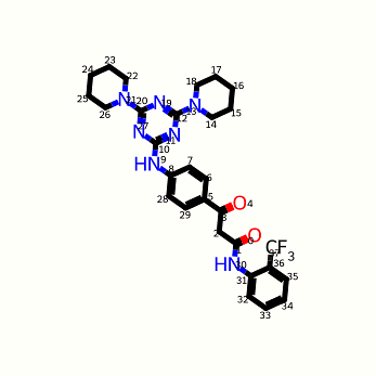 O=C(CC(=O)c1ccc(Nc2nc(N3CCCCC3)nc(N3CCCCC3)n2)cc1)Nc1ccccc1C(F)(F)F